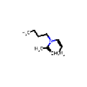 C=C(C)N(/C=C\C)CCCC